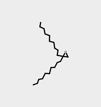 CCCCCCCCCCC1(CCCCCCCCCC)CO1